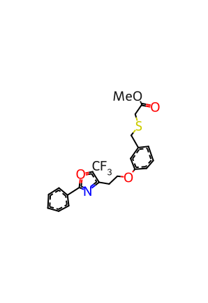 COC(=O)CSCc1cccc(OCCc2nc(-c3ccccc3)oc2C(F)(F)F)c1